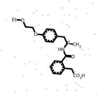 CCOCCOc1ccc(C[C@@H](C)NC(=O)c2ccccc2CC(=O)O)cc1